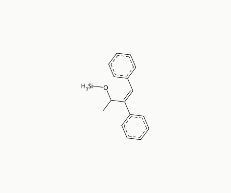 CC(O[SiH3])C(=Cc1ccccc1)c1ccccc1